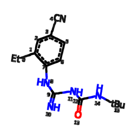 CCc1cc(C#N)ccc1NC(=N)NC(=O)NC(C)(C)C